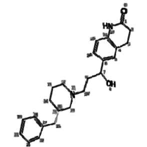 O=C1CCc2cc(C(O)CCN3CCC[C@@H](Cc4ccccc4)C3)ccc2N1